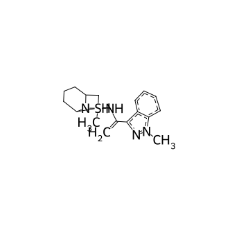 C=C(N[SH]12(C)CC3CCCC1N32)c1nn(C)c2ccccc12